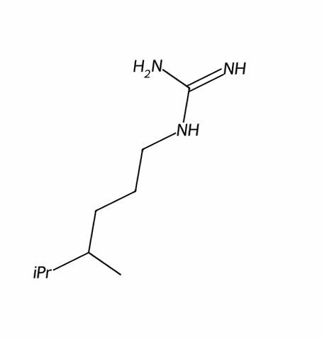 CC(C)C(C)CCCNC(=N)N